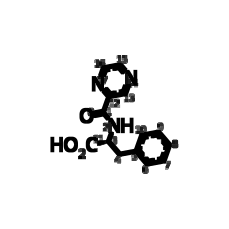 O=C(N[C@@H](Cc1ccccc1)C(=O)O)c1cnccn1